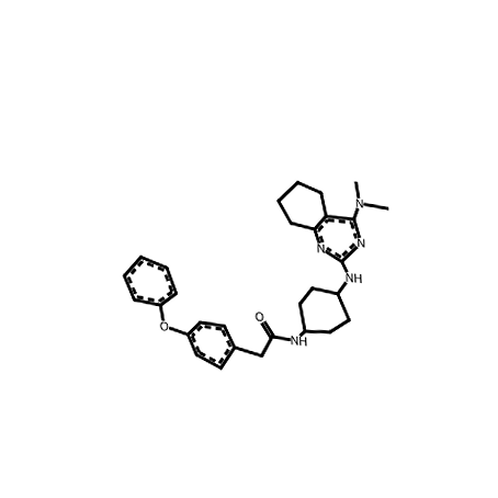 CN(C)c1nc(NC2CCC(NC(=O)Cc3ccc(Oc4ccccc4)cc3)CC2)nc2c1CCCC2